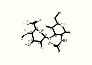 CCC1OC(C)C(NC(C)=O)C(OC2OC(C(=O)O)C(OC)C(O)C2C)C1C